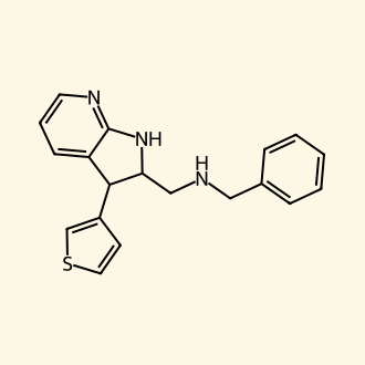 c1ccc(CNCC2Nc3ncccc3C2c2ccsc2)cc1